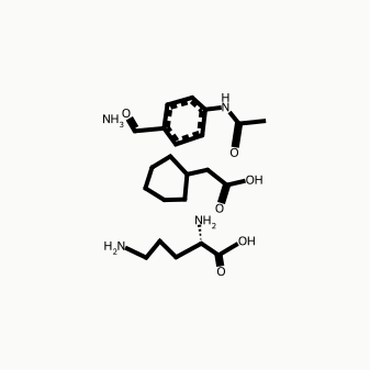 CC(=O)Nc1ccc(C=O)cc1.N.NCCC[C@H](N)C(=O)O.O=C(O)CC1CCCCC1